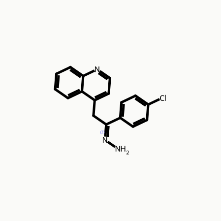 N/N=C(/Cc1ccnc2ccccc12)c1ccc(Cl)cc1